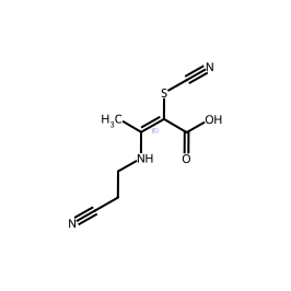 C/C(NCCC#N)=C(\SC#N)C(=O)O